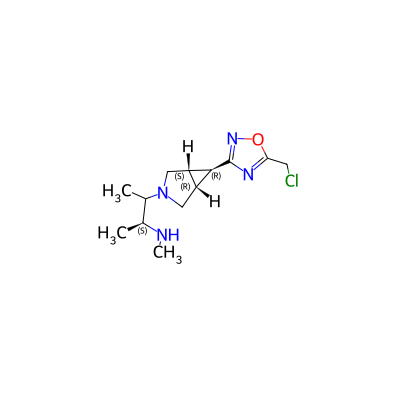 CN[C@@H](C)C(C)N1C[C@@H]2[C@H](C1)[C@H]2c1noc(CCl)n1